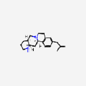 CC(C)Cc1ccc2c(c1)CCN1C[C@@H]3CCCN[C@@H]3C[C@H]21